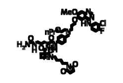 CCCOCCN(CCCOc1cc2c(Nc3ccc(F)c(Cl)c3)ncnc2cc1OC)Cc1ccc(NC(=O)[C@H](CCCNC(N)=O)NC(=O)C2(C(=O)NCCCCCN3C(=O)C=CC3=O)CCC2)cc1